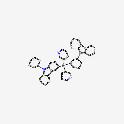 c1ccc(-n2c3ccccc3c3cc([Si](c4cccnc4)(c4cccnc4)c4cccc(-n5c6ccccc6c6ccccc65)c4)ccc32)cc1